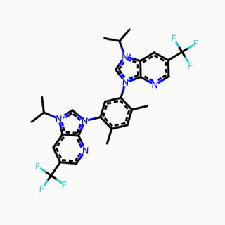 Cc1cc(C)c(-n2c[n+](C(C)C)c3cc(C(F)(F)F)cnc32)cc1-n1c[n+](C(C)C)c2cc(C(F)(F)F)cnc21